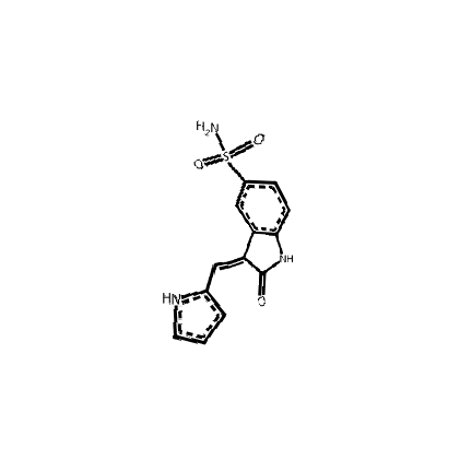 NS(=O)(=O)c1ccc2c(c1)/C(=C/c1ccc[nH]1)C(=O)N2